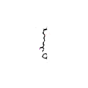 CCCCC(CC(C)C)CC(O)CCCCC(CC[C@H]1CC[C@@H](CC)CC1)[C@@H](C)I